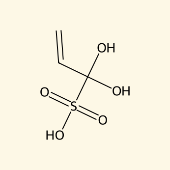 C=CC(O)(O)S(=O)(=O)O